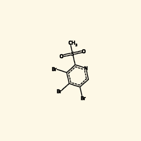 CS(=O)(=O)c1ncc(Br)c(Br)c1Br